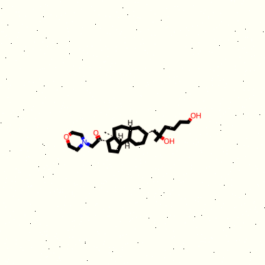 CC(O)(CCCCO)C[C@@H]1CC[C@@H]2[C@H](CC[C@]3(C)[C@@H](C(=O)CN4CCOCC4)CC[C@@H]23)C1